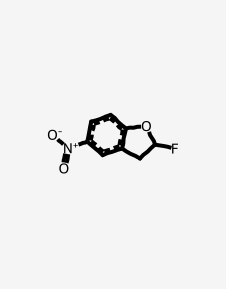 O=[N+]([O-])c1ccc2c(c1)CC(F)O2